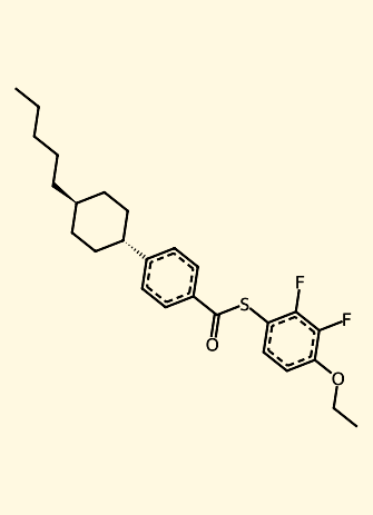 CCCCC[C@H]1CC[C@H](c2ccc(C(=O)Sc3ccc(OCC)c(F)c3F)cc2)CC1